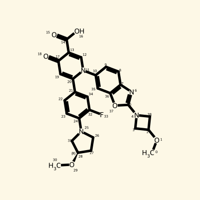 COC1CN(c2nc3ccc(-n4cc(C(=O)O)c(=O)cc4-c4ccc(N5CC[C@@H](OC)C5)c(F)c4)cc3o2)C1